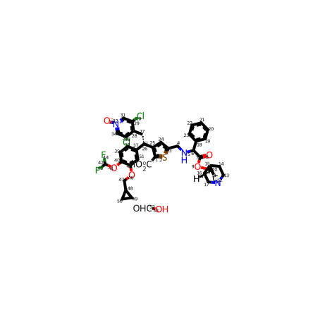 O=C(O)c1sc(CNC(C(=O)O[C@H]2CN3CCC2CC3)c2ccccc2)cc1[C@@H](Cc1c(Cl)c[n+]([O-])cc1Cl)c1ccc(OC(F)F)c(OCC2CC2)c1.O=CO